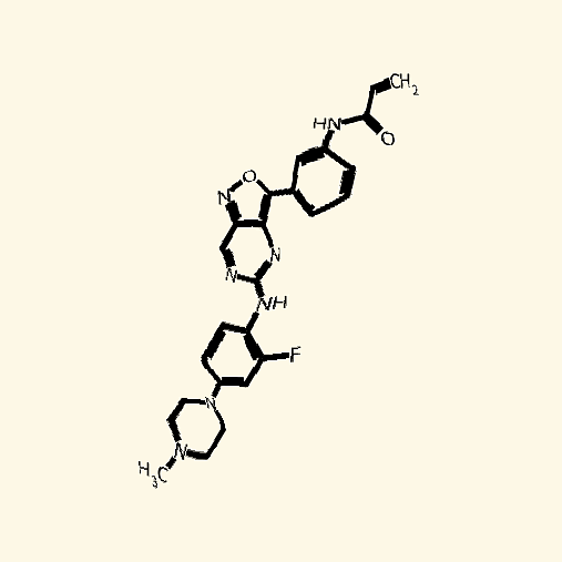 C=CC(=O)Nc1cccc(-c2onc3cnc(Nc4ccc(N5CCN(C)CC5)cc4F)nc23)c1